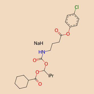 CC(C)C(OC(=O)NCCCC(=O)Oc1ccc(Cl)cc1)OC(=O)C1CCCCC1.[NaH]